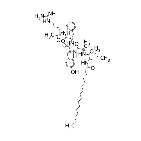 CCCCCCCCCCCCCCCC(=O)NC(CC(C)C)C(=O)N[C@@H](C)C(=O)N[C@@H](Cc1ccc(O)cc1)C(=O)N[C@@H](Cc1ccccc1)C(=O)N[C@@H](CCCNC(=N)N)C(C)=O